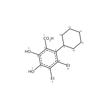 CCc1c(O)c(O)c(C(=O)O)c(C2CCCCC2)c1CC